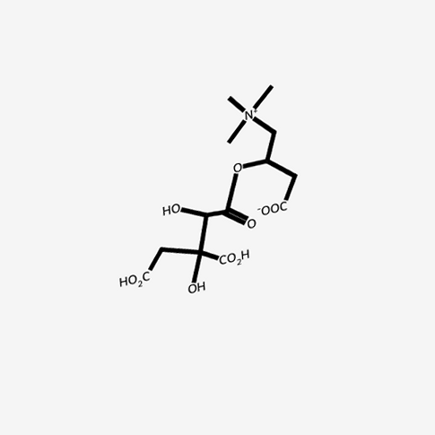 C[N+](C)(C)CC(CC(=O)[O-])OC(=O)C(O)C(O)(CC(=O)O)C(=O)O